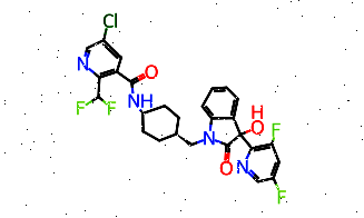 O=C(N[C@H]1CC[C@H](CN2C(=O)C(O)(c3ncc(F)cc3F)c3ccccc32)CC1)c1cc(Cl)cnc1C(F)F